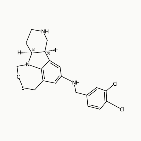 Clc1ccc(CNc2cc3c4c(c2)[C@@H]2CNCC[C@@H]2N4CCSC3)cc1Cl